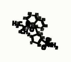 C=C(C)C(=O)OC1(c2cccc(S(N)(=O)=O)c2)CC=Cc2ccccc21